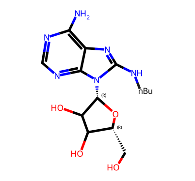 CCCCNc1nc2c(N)ncnc2n1[C@@H]1O[C@H](CO)C(O)C1O